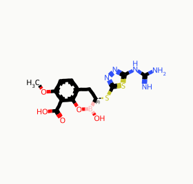 COc1ccc2c(c1C(=O)O)OB(O)[C@@H](Sc1nnc(NC(=N)N)s1)C2